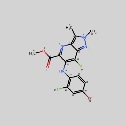 COC(=O)c1nc2c(C)n(C)nc2c(F)c1Nc1ccc(Br)cc1F